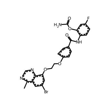 Cc1ncnc2c(OCCOc3ccc(C(=O)Nc4ccc(F)cc4OC(N)=O)cc3)cc(Br)cc12